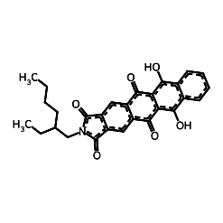 CCCCC(CC)Cn1c(=O)c2cc3c(=O)c4c(O)c5ccccc5c(O)c4c(=O)c3cc2c1=O